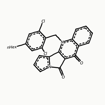 CCCCCCc1cc(Cl)c(Cn2c3c(c(=O)c4ccccc42)C(=O)n2cccc2-3)c(Cl)c1